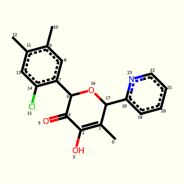 CC1=C(O)C(=O)C(c2cc(C)c(C)cc2Cl)OC1c1ccccn1